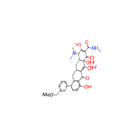 COCc1cccc(-c2ccc(O)c3c2CC2CC4C(N(C)C)C(O)=C(C(N)=O)C(=O)C4(O)C(O)=C2C3=O)c1